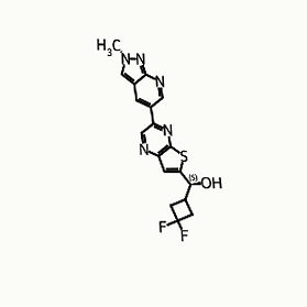 Cn1cc2cc(-c3cnc4cc([C@@H](O)C5CC(F)(F)C5)sc4n3)cnc2n1